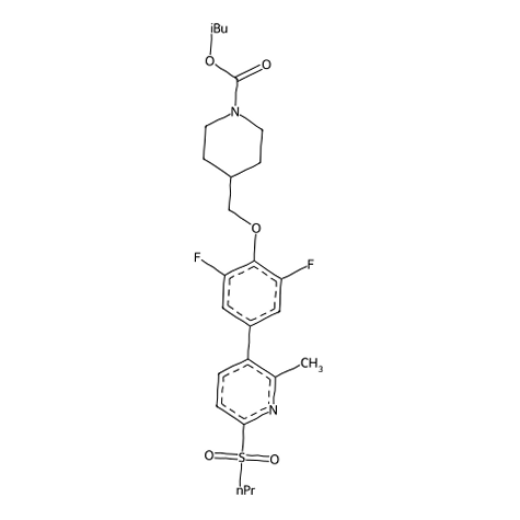 CCCS(=O)(=O)c1ccc(-c2cc(F)c(OCC3CCN(C(=O)OC(C)CC)CC3)c(F)c2)c(C)n1